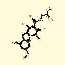 COc1cc(O)c2cc3c(O)c(C(=O)NCC(=O)O)c(=O)n(C)n3c2c1